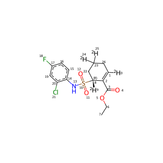 [2H]C1=C(C(=O)OCC)[C@]([2H])(S(=O)(=O)Nc2ccc(F)cc2Cl)CC([2H])([2H])C1